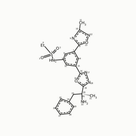 CCS(=O)(=O)Nc1cc(-c2nc(C)no2)cc(-c2nnc([C@@](C)(N)Cc3ccccc3)o2)c1